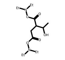 CCN(CC)OC(=O)CC(C(=O)ON(CC)CC)C(C)O